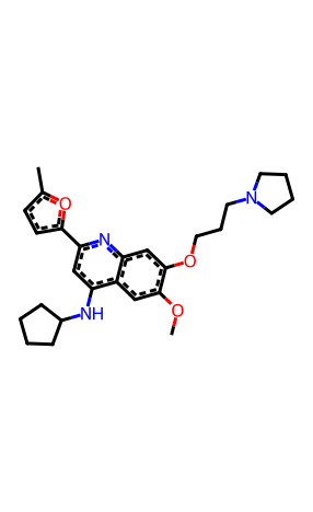 COc1cc2c(NC3CCCC3)cc(-c3ccc(C)o3)nc2cc1OCCCN1CCCC1